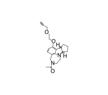 C#CCOCCOc1ccc2c3c1[C@H]1CCC[C@H]1N3CCN(C(C)=O)C2